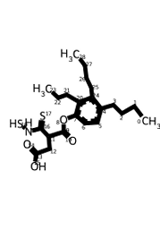 CCCCc1ccc(OC(=O)C(CC(=O)O)C(=S)NS)c(CCC)c1CCCC